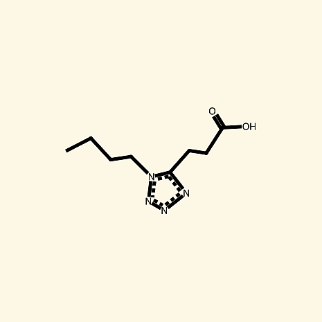 CCCCn1nnnc1CCC(=O)O